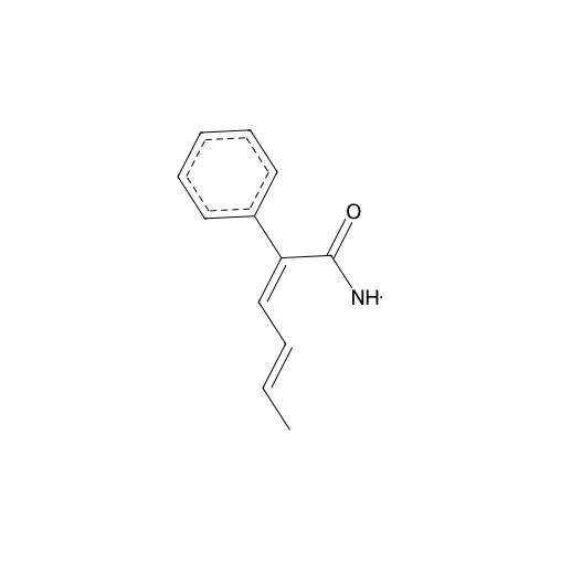 CC=CC=C(C([NH])=O)c1ccccc1